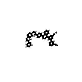 N#Cc1cccc(-c2cc(C#N)cc(-c3ccc(-c4ccc(-c5ccc6ccc7ccc(-c8ccccc8)nc7c6n5)cc4)c4ccccc34)c2)c1